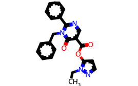 CCn1nccc1OC(=O)c1cnc(-c2ccccc2)n(Cc2ccccc2)c1=O